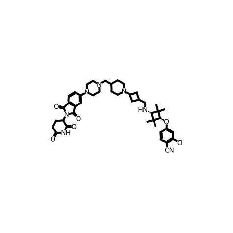 CC1(C)[C@H](NCC2CC(N3CCC(CN4CCN(c5ccc6c(c5)C(=O)N(C5CCC(=O)NC5=O)C6=O)CC4)CC3)C2)C(C)(C)[C@H]1Oc1ccc(C#N)c(Cl)c1